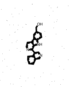 OCc1ccc2[nH]c3c(-c4cncc5ccccc45)nccc3c2c1